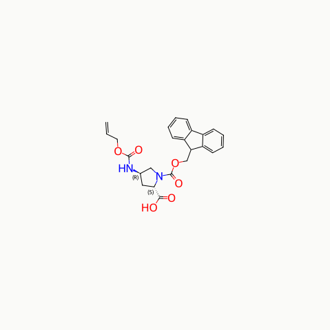 C=CCOC(=O)N[C@@H]1C[C@@H](C(=O)O)N(C(=O)OCC2c3ccccc3-c3ccccc32)C1